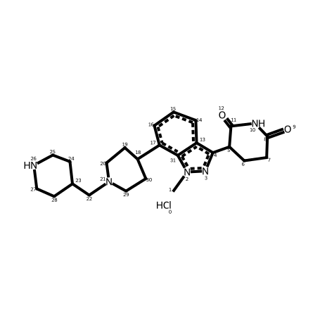 Cl.Cn1nc(C2CCC(=O)NC2=O)c2cccc(C3CCN(CC4CCNCC4)CC3)c21